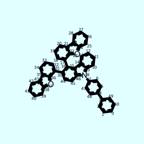 c1ccc(-c2ccc(-n3c4ccccc4c4c(-c5cccc6c5oc5ccccc56)c(-c5cccc6c5oc5ccccc56)ccc43)cc2)cc1